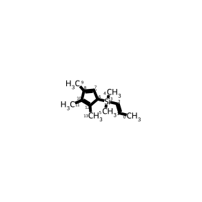 CC=C[Si](C)(C)C1[C]=C(C)C(C)=C1C